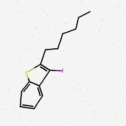 CCCCCCc1sc2ccccc2c1I